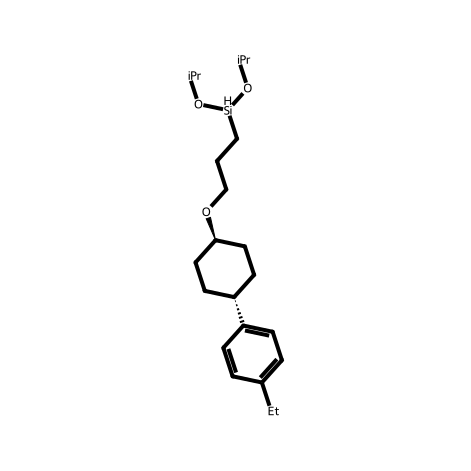 CCc1ccc([C@H]2CC[C@H](OCCC[SiH](OC(C)C)OC(C)C)CC2)cc1